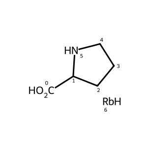 O=C(O)C1CCCN1.[RbH]